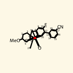 COC1CCC2(CC1)Cc1cc(F)c(-c3cccc(C#N)c3)cc1C21NC(=O)N(C)C1=O